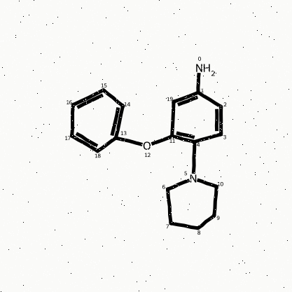 Nc1ccc(N2CCCCC2)c(Oc2ccccc2)c1